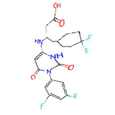 O=C(O)C[C@@H](Nc1cc(=O)n(-c2cc(F)cc(F)c2)c(=O)[nH]1)C1CCC(F)(F)CC1